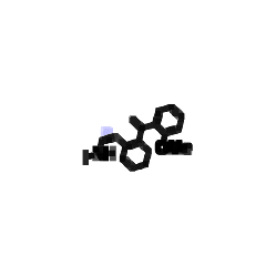 C=C(C1=C(/C=C\NI)C=CCC1)c1ccccc1OC